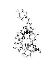 CC1CCN(CCCN(Cc2ccc(C(=O)Nc3ccccc3N)nc2)C(=O)NC2=COC=C(C3=CC=CCC3)O2)CC1